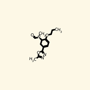 CCCOC1=CC=C(c2nnc(C)o2)CC1N(C)C=O